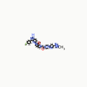 Cn1cnc(-c2ccc(N3CCN(C(=O)CN4CC[C@]5(CCN(c6ccc7[nH]nc(-c8ccc(F)cc8)c7n6)C5=O)C4)CC3)nc2)n1